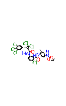 Cc1cc(NC(=O)OC(C)(C)C)ccc1NC(=O)c1cc(NC(=O)C2[C@H](c3cc(Cl)c(Cl)c(Cl)c3)C2(Cl)Cl)ccc1Cl